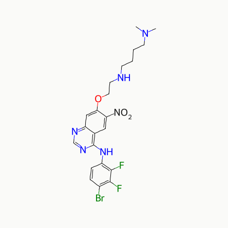 CN(C)CCCCNCCOc1cc2ncnc(Nc3ccc(Br)c(F)c3F)c2cc1[N+](=O)[O-]